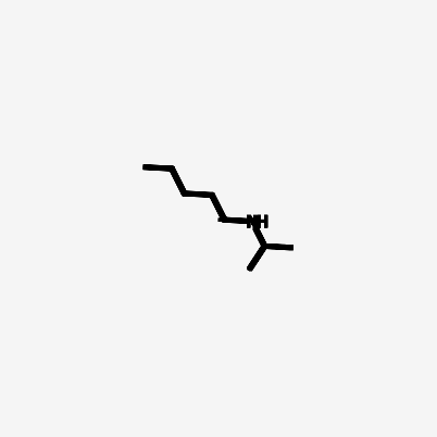 CCCC[CH]NC(C)C